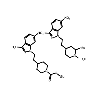 Cc1nn(CCC2CCN(C(=O)O)C(C(C)(C)C)C2)c2cc([N+](=O)[O-])ccc12.Cc1nn(CCC2CCN(C(=O)OC(C)(C)C)CC2)c2cc([N+](=O)[O-])ccc12